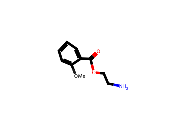 COc1ccccc1C(=O)OCCN